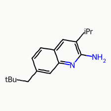 CC(C)c1cc2ccc(CC(C)(C)C)cc2nc1N